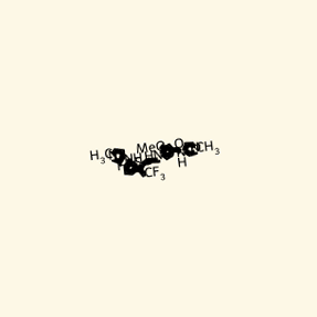 COc1cc(C(=O)NC2CCN(C)CC2)ccc1NCC#Cc1sc2c(N[C@@H]3CCN(C)C[C@@H]3F)cccc2c1CC(F)(F)F